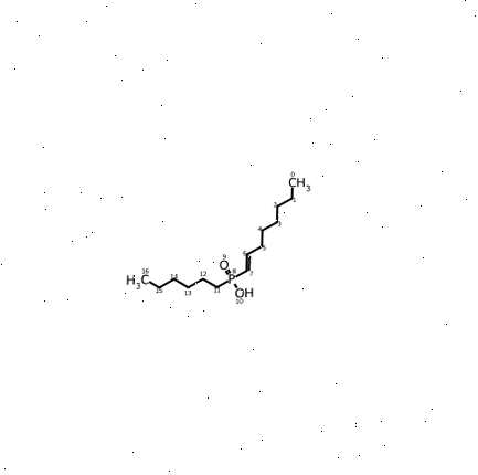 CCCCCCC=CP(=O)(O)CCCCCC